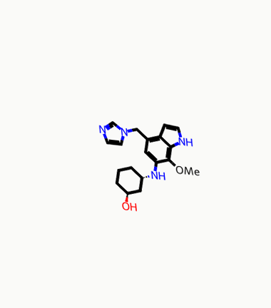 COc1c(N[C@H]2CCC[C@H](O)C2)cc(Cn2ccnc2)c2cc[nH]c12